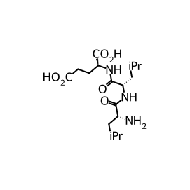 CC(C)C[C@@H](N)C(=O)N[C@@H](CC(C)C)C(=O)N[C@@H](CCC(=O)O)C(=O)O